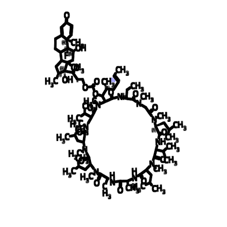 C/C=C/C[C@@H](C)C(OC(=O)OC[CH]C(=O)[C@@]1(O)[C@@H](C)CC2C3CCC4=CC(=O)C=C[C@]4(C)[C@@]3(F)[C@@H](O)C[C@@]21C)C1C(=O)NC(CC)C(=O)N(C)CC(=O)N(C)[C@@H](CC(C)C)C(=O)NC(C(C)C)C(=O)N(C)C(CC(C)C)C(=O)NC(C)C(=O)NC(C)C(=O)N(C)C(CC(C)C)C(=O)N(C)C(CC(C)C)C(=O)N(C)C(C(C)C)C(=O)N1C